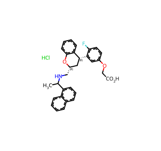 CC(NC[C@H]1C[C@@H](c2cc(OCC(=O)O)ccc2F)c2ccccc2O1)c1cccc2ccccc12.Cl